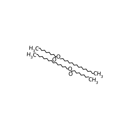 CCCCCCCCCCCCCCCCOC(=O)CCCCCCCC.CCCCCCCCCCCCCCCOC(=O)CCCCCCCC